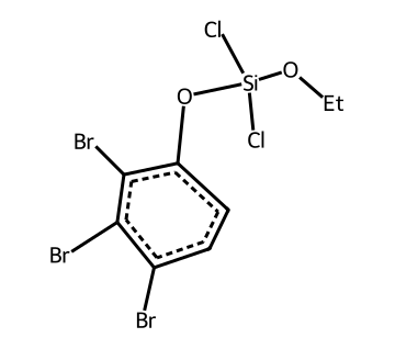 CCO[Si](Cl)(Cl)Oc1ccc(Br)c(Br)c1Br